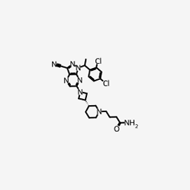 CC(c1ccc(Cl)cc1Cl)n1nc(C#N)c2ncc(N3CC([C@H]4CCCN(CCCC(N)=O)C4)C3)nc21